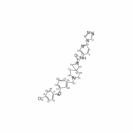 O=C(Nc1ccc(-n2cnnc2)nc1)N1CC2(CCN(Cc3cccc(Oc4ccc(Cl)cc4)c3)CC2)C1